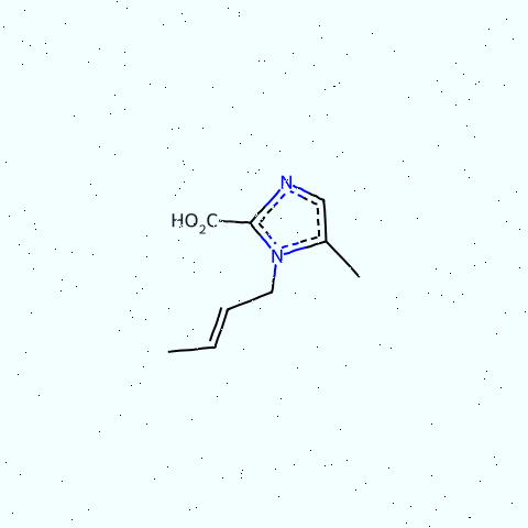 CC=CCn1c(C)cnc1C(=O)O